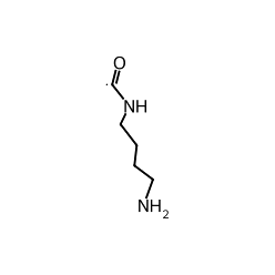 NCCCCN[C]=O